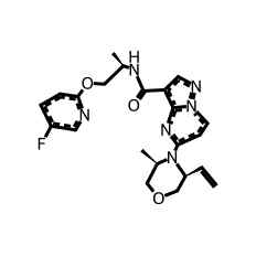 C=C[C@H]1COC[C@@H](C)N1c1ccn2ncc(C(=O)N[C@H](C)COc3ccc(F)cn3)c2n1